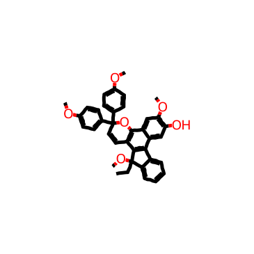 CCC1(OC)c2ccccc2-c2c1c1c(c3cc(OC)c(O)cc23)OC(c2ccc(OC)cc2)(c2ccc(OC)cc2)C=C1